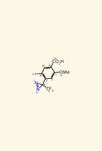 COc1cc(C2(C(F)(F)F)N=N2)c(I)cc1C(=O)O